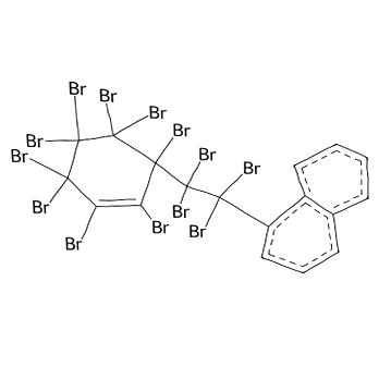 BrC1=C(Br)C(Br)(C(Br)(Br)C(Br)(Br)c2cccc3ccccc23)C(Br)(Br)C(Br)(Br)C1(Br)Br